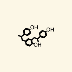 CC(Cc1ccc(O)c(CC(C)c2ccc(O)cc2)c1)c1ccc(O)cc1